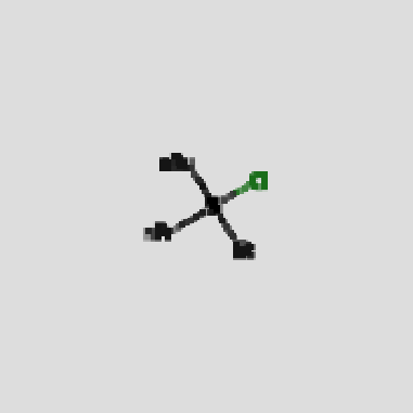 CCCC[Si](Cl)(CC)CCC